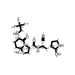 N#C[C@H](C[C@@H]1CCNC1O)NC(=O)[C@@H]1CS[C@H]2CC[C@H](NCC(F)(F)F)C(=O)N21